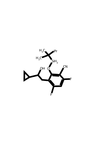 CC(C)C(C)(C)[SiH2]Oc1c(C#N)c(F)cc(F)c1CC(O)C1CC1